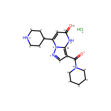 Cl.O=C(c1cnn2c(C3CCNCC3)cc(=O)[nH]c12)N1CCCCC1